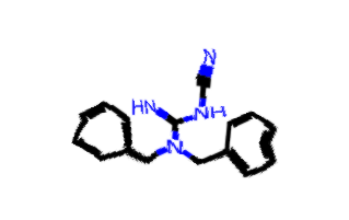 N#CNC(=N)N(Cc1ccccc1)Cc1ccccc1